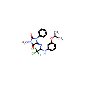 CC(C)Oc1cccc(NC(N=C2C(=O)N(C)C(=O)N2c2ccccc2)C(Cl)(Cl)Cl)c1